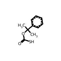 CC(C)(OC(=O)S)c1ccccc1